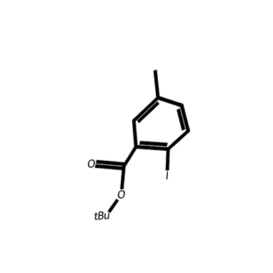 Cc1ccc(I)c(C(=O)OC(C)(C)C)c1